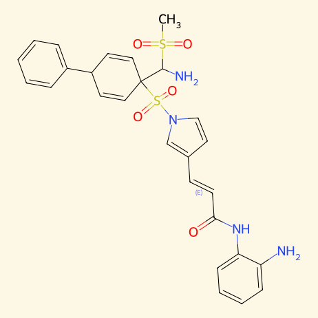 CS(=O)(=O)C(N)C1(S(=O)(=O)n2ccc(/C=C/C(=O)Nc3ccccc3N)c2)C=CC(c2ccccc2)C=C1